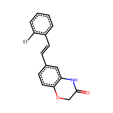 CCc1ccccc1C=Cc1ccc2c(c1)NC(=O)CO2